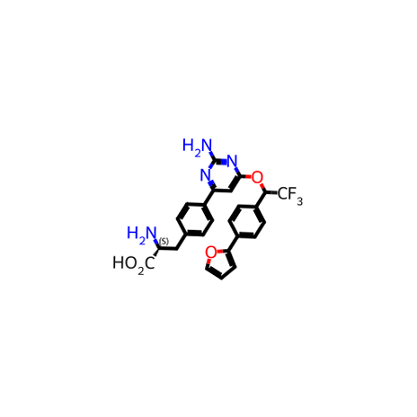 Nc1nc(OC(c2ccc(-c3ccco3)cc2)C(F)(F)F)cc(-c2ccc(C[C@H](N)C(=O)O)cc2)n1